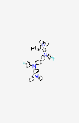 CC1C=CCCC1N1c2ccc(N(C3=CCC(c4ccc(N(C5=CC=C(F)CC5)C5=CC=C6C(C5)C5C=CC=CC5N6c5ccccc5)cc4)C=C3)c3ccc(F)cc3)cc2C2C=CC=C[C@@H]21